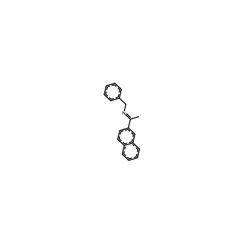 CC(=NCc1ccccc1)c1ccc2ccccc2c1